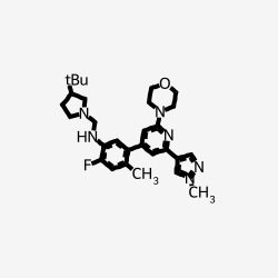 Cc1cc(F)c(NCN2CCC(C(C)(C)C)C2)cc1-c1cc(-c2cnn(C)c2)nc(N2CCOCC2)c1